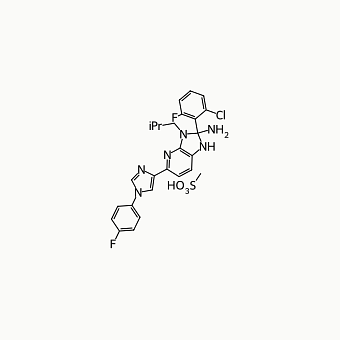 CC(C)CN1c2nc(-c3cn(-c4ccc(F)cc4)cn3)ccc2NC1(N)c1c(F)cccc1Cl.CS(=O)(=O)O